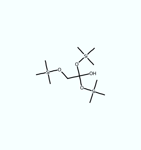 C[Si](C)(C)OCC(O)(O[Si](C)(C)C)O[Si](C)(C)C